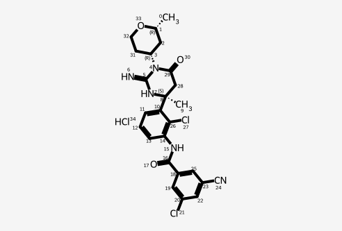 C[C@@H]1C[C@H](N2C(=N)N[C@](C)(c3cccc(NC(=O)c4cc(Cl)cc(C#N)c4)c3Cl)CC2=O)CCO1.Cl